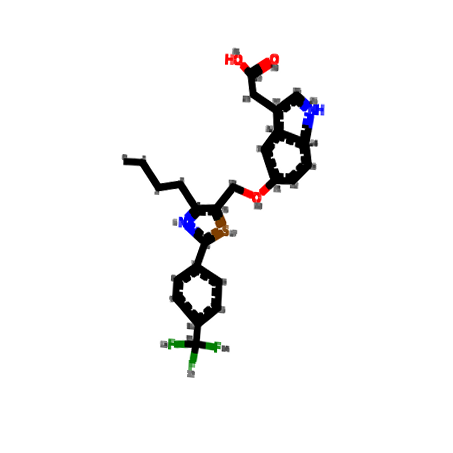 CCCCc1nc(-c2ccc(C(F)(F)F)cc2)sc1COc1ccc2[nH]cc(CC(=O)O)c2c1